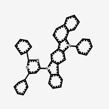 c1ccc(-c2cc(-n3c4ccccc4c4cc5c(cc43)c3ccc4ccccc4c3n5-c3ccccc3)nc(-c3ccccc3)n2)cc1